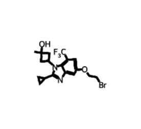 CC1(O)CC(n2c(C3CC3)nc3cc(OCCBr)cc(C(F)(F)F)c32)C1